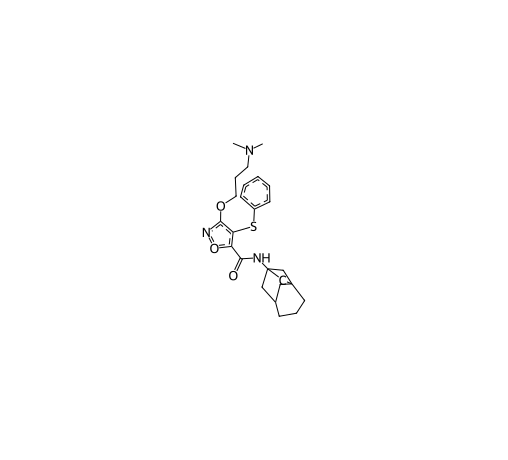 CN(C)CCCOc1noc(C(=O)NC23CC4CCCC(C4)(C2)C3)c1Sc1ccccc1